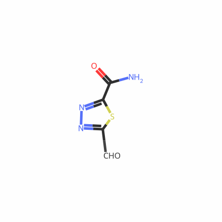 NC(=O)c1nnc(C=O)s1